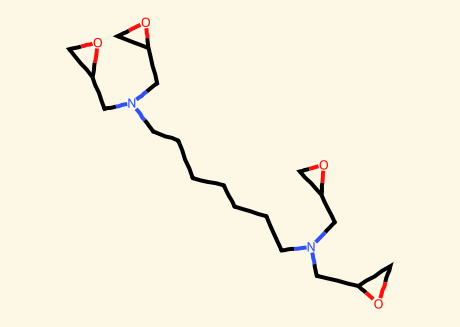 C(CCCN(CC1CO1)CC1CO1)CCCN(CC1CO1)CC1CO1